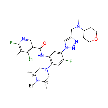 CCN1[C@H](C)CN(c2cc(F)c(-n3cc(CN(C)C4CCOCC4)nn3)cc2NC(=O)c2cnc(F)c(C)c2Cl)C[C@@H]1C